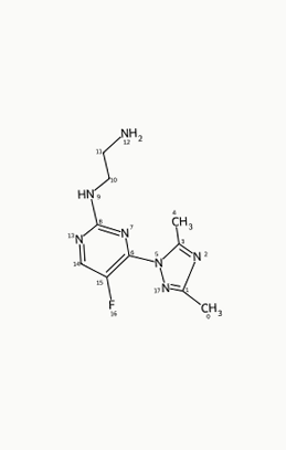 Cc1nc(C)n(-c2nc(NCCN)ncc2F)n1